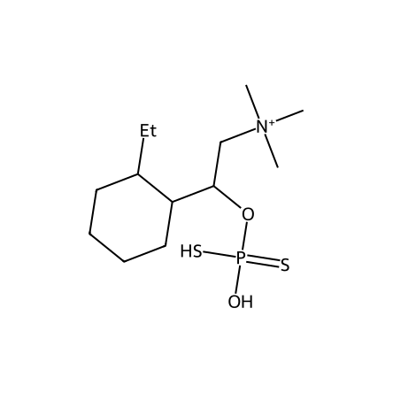 CCC1CCCCC1C(C[N+](C)(C)C)OP(O)(=S)S